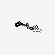 CCOC(=O)c1c(C)cc(OCc2cccc(OCc3ccc4ccccc4n3)c2)cc1O